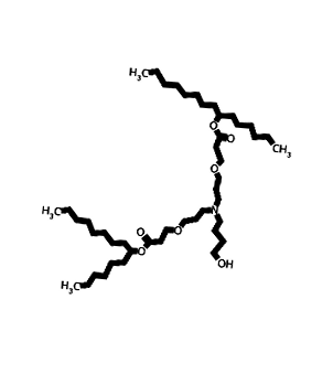 CCCCCCCCC(CCCCCC)OC(=O)CCOCCCN(CCCCO)CCCOCCC(=O)OC(CCCCCC)CCCCCCCC